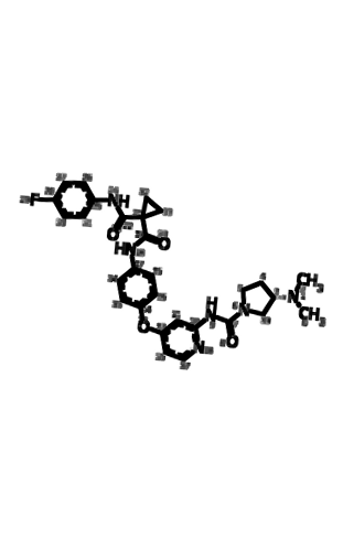 CN(C)[C@H]1CCN(C(=O)Nc2cc(Oc3ccc(NC(=O)C4(C(=O)Nc5ccc(F)cc5)CC4)cc3)ccn2)C1